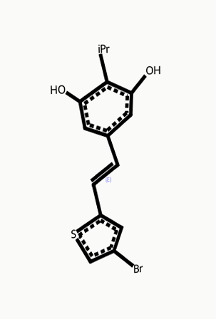 CC(C)c1c(O)cc(/C=C/c2cc(Br)cs2)cc1O